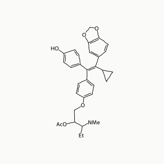 CCC(NC)C(COc1ccc(C(=C(c2ccc3c(c2)OCO3)C2CC2)c2ccc(O)cc2)cc1)OC(C)=O